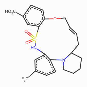 O=C(O)c1ccc2c(c1)S(=O)(=O)Nc1cc(C(F)(F)F)ccc1N1CCCCC1C/C=C/CO2